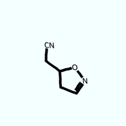 N#CCC1CC=NO1